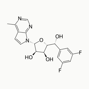 Cc1ncnc2c1ccn2[C@@H]1O[C@H]([C@H](O)c2cc(F)cc(F)c2)[C@@H](O)[C@H]1O